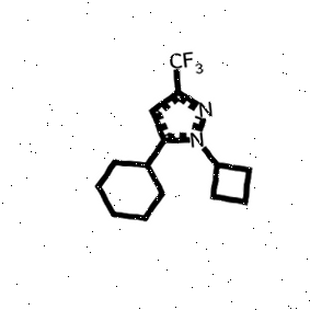 FC(F)(F)c1cc(C2CCCCC2)n(C2CCC2)n1